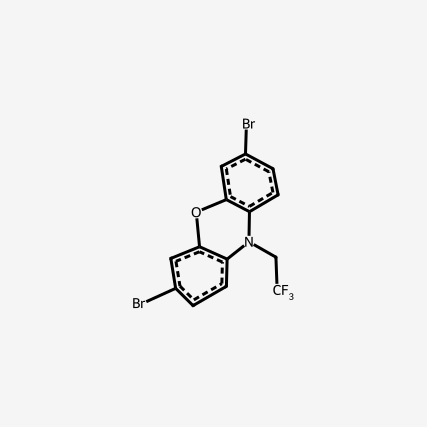 FC(F)(F)CN1c2ccc(Br)cc2Oc2cc(Br)ccc21